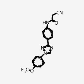 N#CCC(=O)Nc1ccc(-c2ncn(-c3ccc(OC(F)(F)F)cc3)n2)cc1